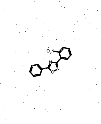 O=[N+]([O-])c1ccccc1-c1noc(-c2ccccc2)n1